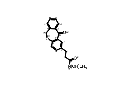 CN(O)C(=O)CCc1ccc2c(c1)C(=O)c1ccccc1CO2